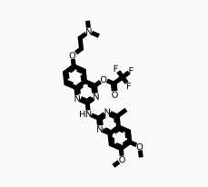 COc1cc2nc(Nc3nc(OC(=O)C(F)(F)F)c4cc(OCCN(C)C)ccc4n3)nc(C)c2cc1OC